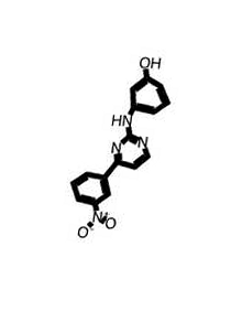 O=[N+]([O-])c1cccc(-c2ccnc(Nc3cccc(O)c3)n2)c1